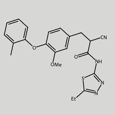 CCc1nnc(NC(=O)C(C#N)Cc2ccc(Oc3ccccc3C)c(OC)c2)s1